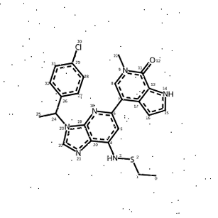 CCSNc1cc(-c2cn(C)c(=O)c3[nH]ccc23)nc2c1ncn2C(C)c1ccc(Cl)cc1